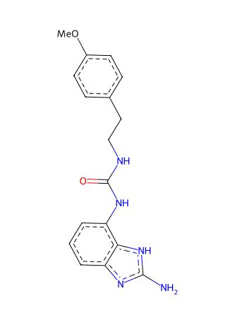 COc1ccc(CCNC(=O)Nc2cccc3nc(N)[nH]c23)cc1